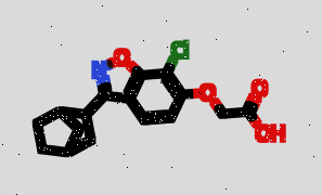 O=C(O)COc1ccc2c(C3CC4CCC3C4)noc2c1Cl